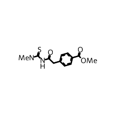 CNC(=S)NC(=O)Cc1ccc(C(=O)OC)cc1